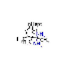 CCCCCCCCCC(C)C(C)(C)C(C)(N)N